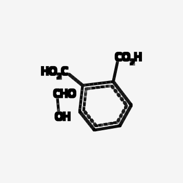 O=C(O)c1ccccc1C(=O)O.O=CO